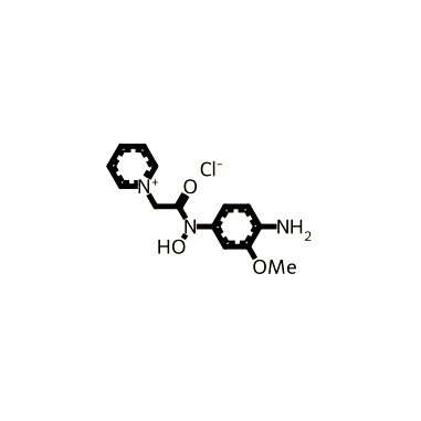 COc1cc(N(O)C(=O)C[n+]2ccccc2)ccc1N.[Cl-]